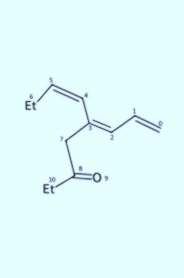 C=C/C=C(\C=C/CC)CC(=O)CC